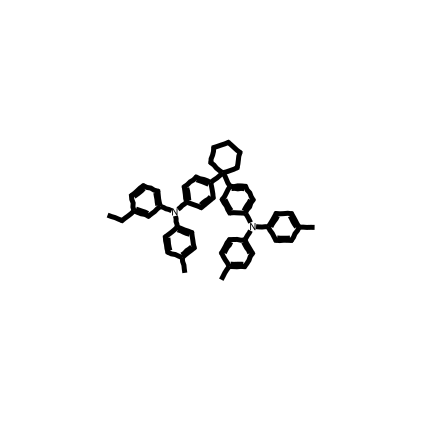 CCc1cccc(N(c2ccc(C)cc2)c2ccc(C3(c4ccc(N(c5ccc(C)cc5)c5ccc(C)cc5)cc4)CCCCC3)cc2)c1